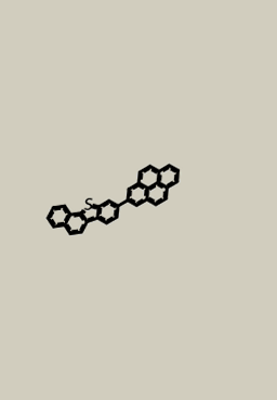 c1ccc2c(c1)ccc1c3ccc(-c4cc5ccc6cccc7ccc(c4)c5c67)cc3sc21